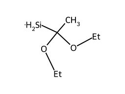 CCOC(C)([SiH2])OCC